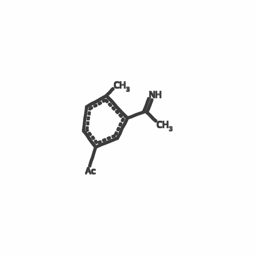 CC(=N)c1cc(C(C)=O)ccc1C